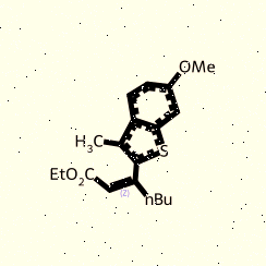 CCCC/C(=C/C(=O)OCC)c1sc2cc(OC)ccc2c1C